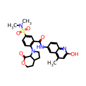 Cc1cc(O)nc2ccc(NC(=O)c3cc(S(=O)(=O)N(C)C)ccc3N3CCC4CCOC(=O)C43)cc12